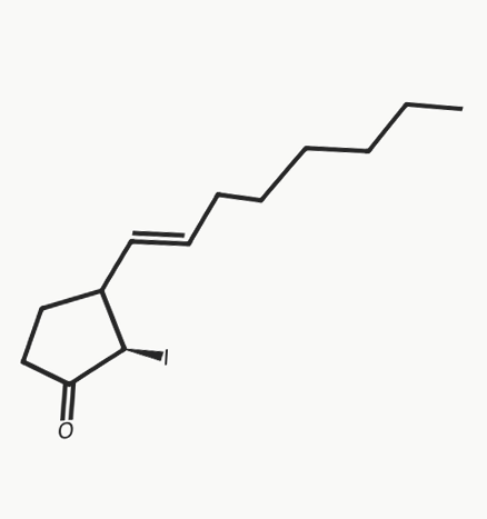 CCCCCC/C=C/C1CCC(=O)[C@@H]1I